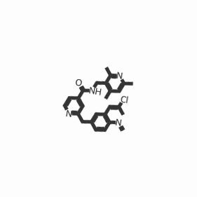 C=Nc1ccc(Cc2cc(C(=O)NCc3c(C)cc(C)nc3C)ccn2)cc1/C=C(\C)Cl